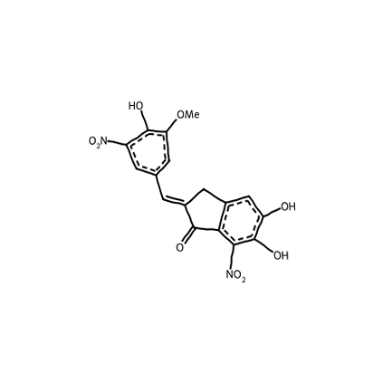 COc1cc(C=C2Cc3cc(O)c(O)c([N+](=O)[O-])c3C2=O)cc([N+](=O)[O-])c1O